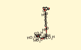 O=C(O)CC[C@H](NP(=O)(O)OCCC[C@H](NC(=O)CC[C@H](NC(=O)CCCCCNC(=O)CCOCCOCCOCCOCCNC(=O)CCC(=O)N1Cc2ccccc2C#Cc2ccccc21)C(=O)O)C(=O)O)C(=O)O